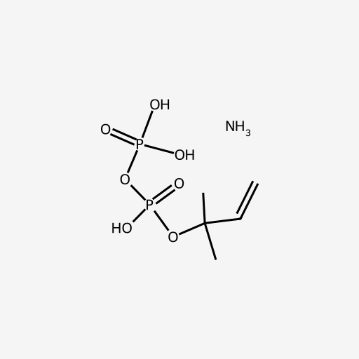 C=CC(C)(C)OP(=O)(O)OP(=O)(O)O.N